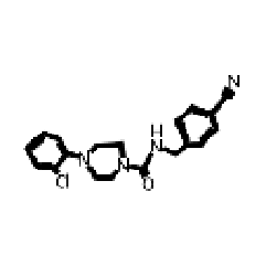 N#Cc1ccc(CNC(=O)N2CCN(c3ccccc3Cl)CC2)cc1